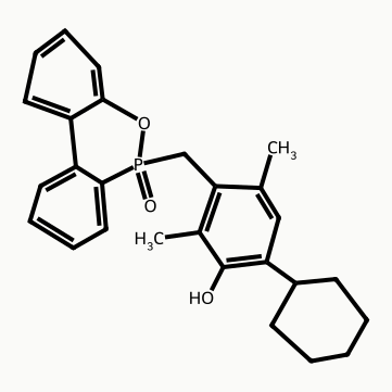 Cc1cc(C2CCCCC2)c(O)c(C)c1CP1(=O)Oc2ccccc2-c2ccccc21